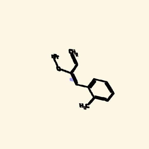 C=C/C(=C\c1ccccc1C)OCCC